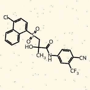 CC(O)(CS(=O)(=O)c1ccc(Cl)c2ccccc12)C(=O)Nc1ccc(C#N)c(C(F)(F)F)c1